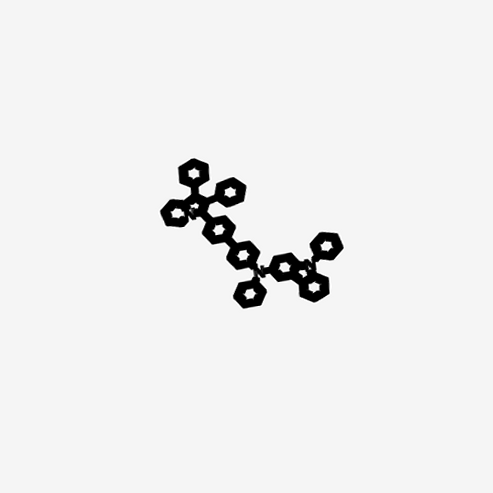 c1ccc(-c2c(-c3ccccc3)c3ccccn3c2-c2ccc(-c3ccc(N(c4ccccc4)c4ccc5c(c4)c4ccccc4n5-c4ccccc4)cc3)cc2)cc1